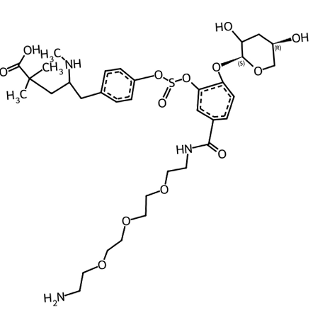 CNC(Cc1ccc(OS(=O)Oc2cc(C(=O)NCCOCCOCCOCCN)ccc2O[C@@H]2OC[C@H](O)CC2O)cc1)CC(C)(C)C(=O)O